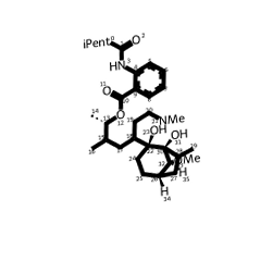 CCCC(C)C(=O)Nc1ccccc1C(=O)O[C@@H](C)C(C)CC(CCNC)[C@@]1(O)CC[C@H]2CC(C)[C@]1(O)[C@H]2OC